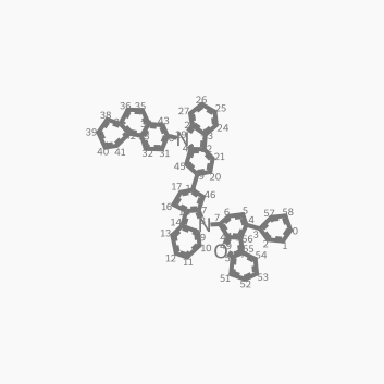 c1ccc(-c2ccc(-n3c4ccccc4c4ccc(-c5ccc6c7ccccc7n(-c7ccc8c(ccc9ccccc98)c7)c6c5)cc43)c3oc4ccccc4c23)cc1